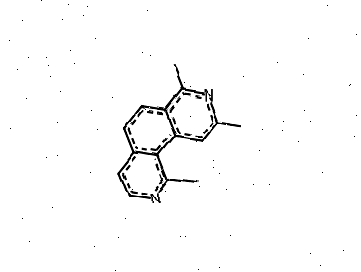 Cc1cc2c(ccc3ccnc(C)c32)c(C)n1